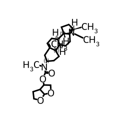 C[C@H]1[C@H]2CC[C@H]3[C@@H]4CC=C5C[C@@H](N(C)C(=O)OC6COC7OCCC67)CC[C@]5(C)[C@H]4CCC23CN1C